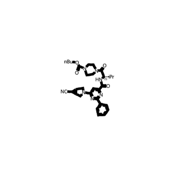 CCCCOC(=O)N1CCN(C(=O)[C@@H](NC(=O)c2cc(N3CC4C(C#N)C4C3)nc(-c3ccccc3)n2)C(C)C)CC1